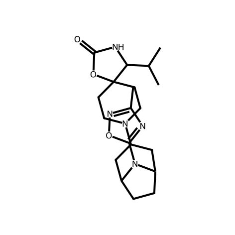 Cc1noc(N2C3CCC2CC(N2CCC4(CC2)OC(=O)NC4C(C)C)C3)n1